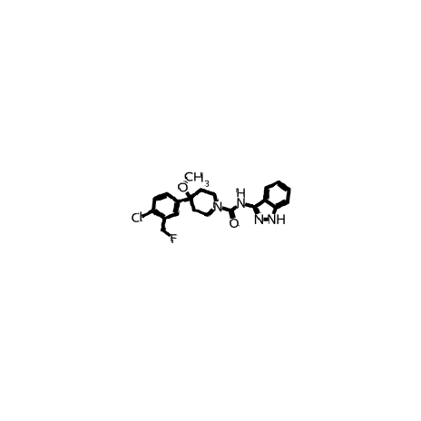 COC1(c2ccc(Cl)c(CF)c2)CCN(C(=O)Nc2n[nH]c3ccccc23)CC1